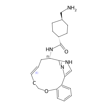 NC[C@H]1CC[C@H](C(=O)N[C@H]2C/C=C/CCOc3ccccc3-c3c[nH]c2n3)CC1